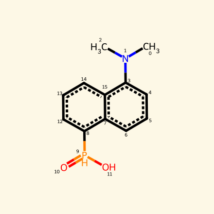 CN(C)c1cccc2c([PH](=O)O)cccc12